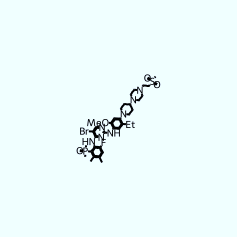 CCc1cc(Nc2ncc(Br)c(Nc3c(F)cc(C)c(C)c3P(C)(C)=O)n2)c(OC)cc1N1CCC(N2CCN(CCS(C)(=O)=O)CC2)CC1